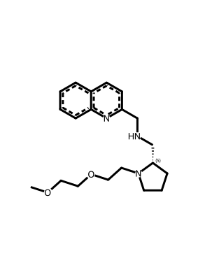 COCCOCCN1CCC[C@H]1CNCc1ccc2ccccc2n1